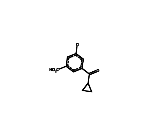 O=C(O)c1cc(Cl)cc(C(=O)C2CC2)c1